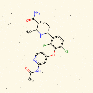 CC[C@@H](NC(C)CC(N)=O)c1ccc(Cl)c(Oc2ccnc(NC(C)=O)c2)c1F